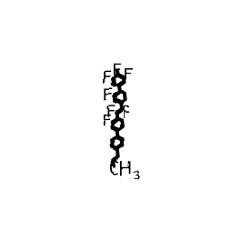 CCCc1ccc(-c2ccc(C(F)=C(F)c3ccc(-c4cc(F)c(F)c(F)c4)c(F)c3)c(F)c2)cc1